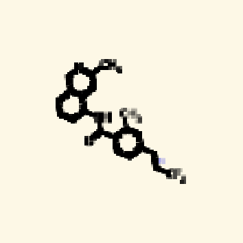 Cc1cc2c(NC(=O)c3ccc(/C=C/C(F)(F)F)cc3C)cccc2cn1